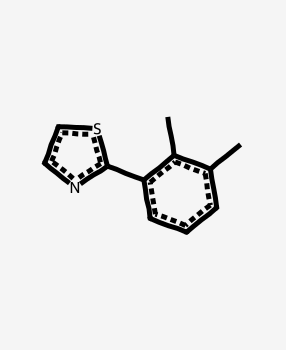 Cc1cccc(-c2nccs2)c1C